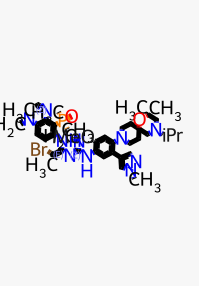 C=N/C(=N\C(Nc1ccc(N=C)c(/N=C\C)c1P(C)(C)=O)=C(/C)Br)Nc1cc(-c2cnn(C)c2)c(N2CCC3(CC2)CN(C(C)C)CC(C)(C)O3)cc1OC